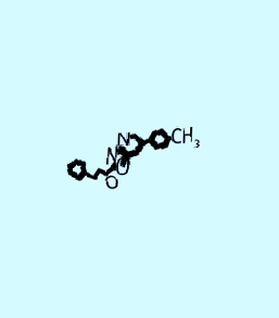 Cc1ccc(-c2cnc3nc(C(=O)CCc4ccccc4)oc3c2)cc1